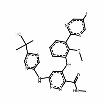 CNC(=O)c1nnc(Nc2cnc(C(C)(C)O)cn2)cc1Nc1cccc(-c2ncc(F)cn2)c1OC